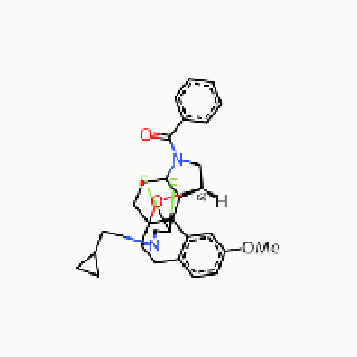 COc1ccc2c(c1)C13C4C5CCC1(O[C@@H]4CN5C(=O)c1ccccc1)C(C2)N(CC1CC1)CC3(F)F